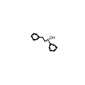 ON(CCc1ccccc1)c1ccccc1